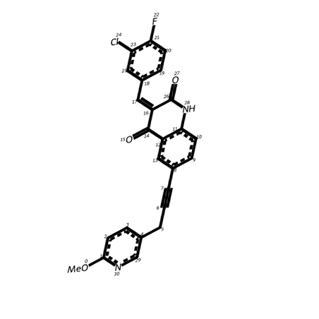 COc1ccc(CC#Cc2ccc3c(c2)C(=O)/C(=C/c2ccc(F)c(Cl)c2)C(=O)N3)cn1